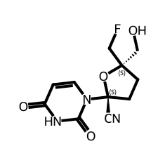 N#C[C@]1(n2ccc(=O)[nH]c2=O)CC[C@](CO)(CF)O1